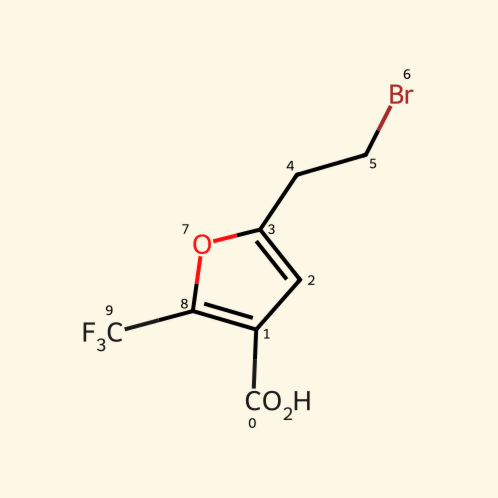 O=C(O)c1cc(CCBr)oc1C(F)(F)F